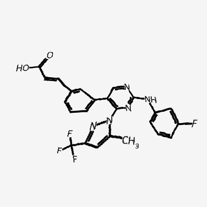 Cc1cc(C(F)(F)F)nn1-c1nc(Nc2cccc(F)c2)ncc1-c1cccc(/C=C/C(=O)O)c1